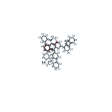 CC1(c2ccccc2)c2ccccc2-c2ccc(N(c3cccc(-c4cccc5c4sc4ccccc45)c3)c3ccccc3C3=CCCC=C3c3ccccc3-c3ccccc3)cc21